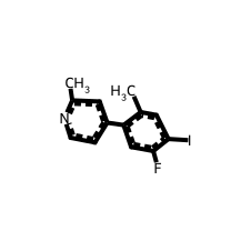 Cc1cc(-c2cc(F)c(I)cc2C)ccn1